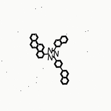 c1ccc2cc(-c3ccc(-c4nc(-c5ccc6ccccc6c5)nc(-c5cccc6c5ccc5c7ccccc7ccc65)n4)cc3)ccc2c1